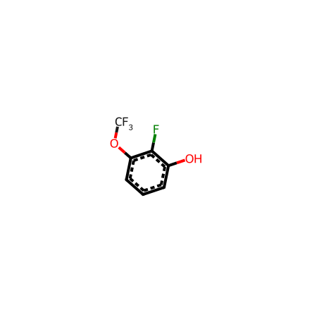 Oc1cccc(OC(F)(F)F)c1F